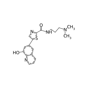 CN(C)CCCNC(=O)c1ncc(-c2cc(O)c3ncccc3c2)s1